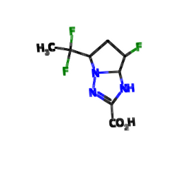 CC(F)(F)C1CC(F)C2NC(C(=O)O)=NN21